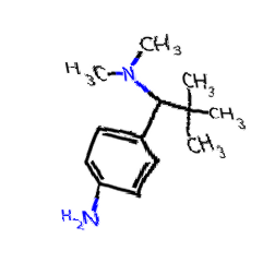 CN(C)C(c1ccc(N)cc1)C(C)(C)C